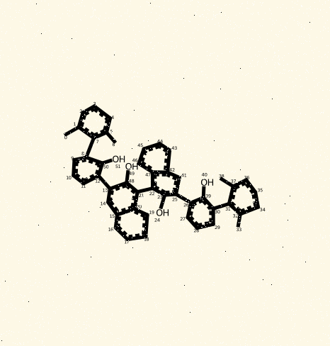 Cc1cccc(C)c1-c1cccc(-c2cc3ccccc3c(-c3c(O)c(-c4cccc(-c5c(C)cccc5C)c4O)cc4ccccc34)c2O)c1O